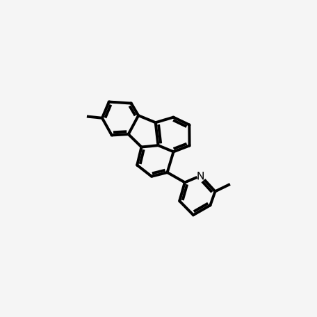 Cc1ccc2c(c1)-c1ccc(-c3cccc(C)n3)c3cccc-2c13